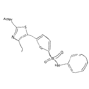 CC(=O)Nc1nc(C)c(-c2ccc(S(=O)(=O)Nc3ccccc3)o2)s1